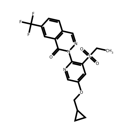 CCS(=O)(=O)c1cc(OCC2CC2)cnc1-n1ncc2ccc(C(F)(F)F)cc2c1=O